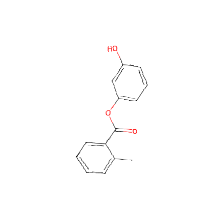 Cc1ccccc1C(=O)Oc1cccc(O)c1